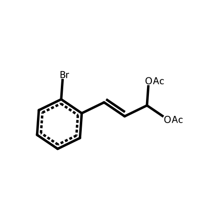 CC(=O)OC(C=Cc1ccccc1Br)OC(C)=O